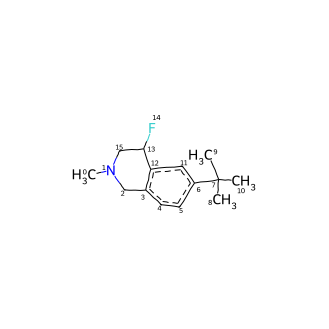 CN1Cc2ccc(C(C)(C)C)cc2C(F)C1